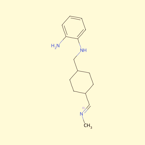 C/N=C/C1CCC(CNc2ccccc2N)CC1